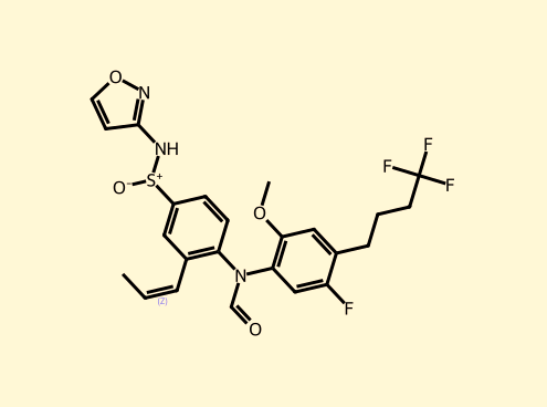 C/C=C\c1cc([S+]([O-])Nc2ccon2)ccc1N(C=O)c1cc(F)c(CCCC(F)(F)F)cc1OC